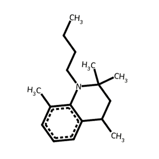 CCCCN1c2c(C)cccc2C(C)CC1(C)C